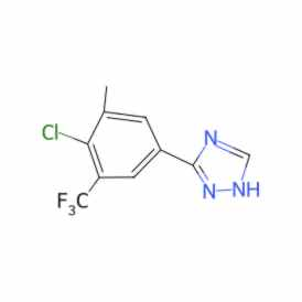 Cc1cc(-c2nc[nH]n2)cc(C(F)(F)F)c1Cl